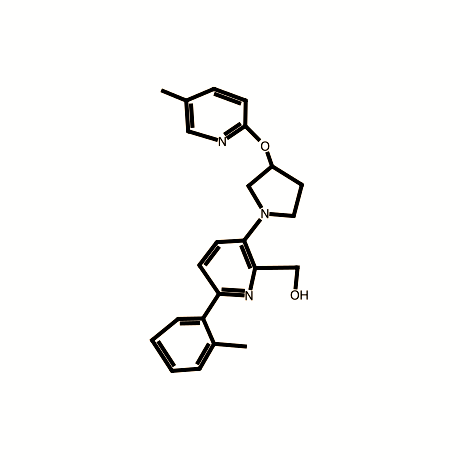 Cc1ccc(OC2CCN(c3ccc(-c4ccccc4C)nc3CO)C2)nc1